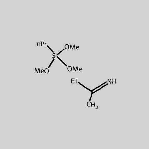 CCC(C)=N.CCC[Si](OC)(OC)OC